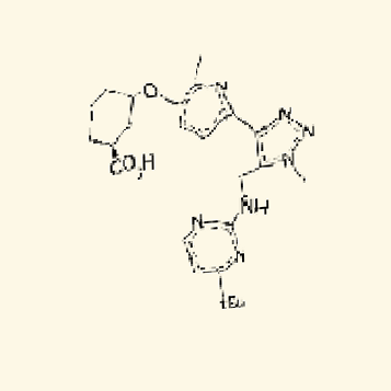 Cc1nc(-c2nnn(C)c2CNc2nccc(C(C)(C)C)n2)ccc1O[C@H]1CCC[C@H](C(=O)O)C1